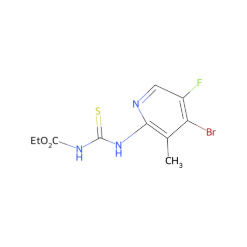 CCOC(=O)NC(=S)Nc1ncc(F)c(Br)c1C